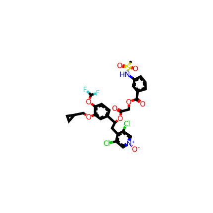 CS(=O)(=O)Nc1cccc(C(=O)OCC(=O)OC(Cc2c(Cl)c[n+]([O-])cc2Cl)c2ccc(OC(F)F)c(OCC3CC3)c2)c1